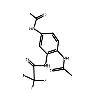 CC(=O)Nc1ccc(NC(C)=O)c(NC(=O)C(F)(F)F)c1